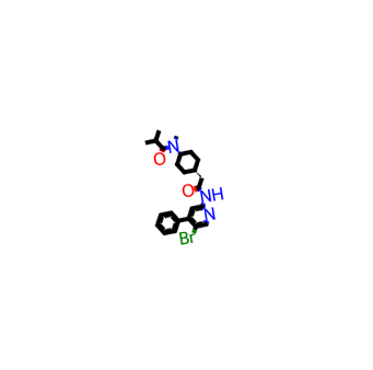 CC(C)C(=O)N(C)[C@H]1CC[C@H](CC(=O)Nc2cc(-c3ccccc3)c(Br)cn2)CC1